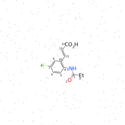 CCC(=O)Nc1ccc(F)cc1C=CC(=O)O